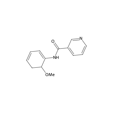 COC1CC=CC=C1NC(=O)c1cccnc1